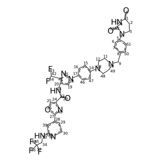 O=C1CCN(c2ccc(CN3CCN(c4ccc(-n5cc(NC(=O)c6coc(-c7ccnc(NCC(F)(F)F)c7)n6)c(C(F)F)n5)cc4)CC3)cc2)C(=O)N1